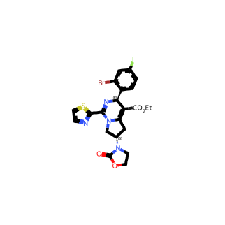 CCOC(=O)C1=C2C[C@H](N3CCOC3=O)CN2C(c2nccs2)=N[C@H]1c1ccc(F)cc1Br